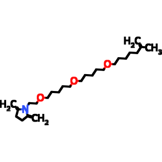 C=C(C)CCCCCOCCCCCOCCCCCOCCN1C(=C)CCC1=C